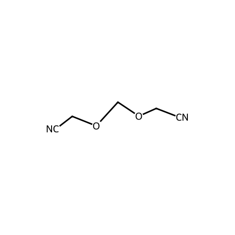 N#CCOCOCC#N